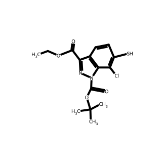 CCOC(=O)c1nn(C(=O)OC(C)(C)C)c2c(Cl)c(S)ccc12